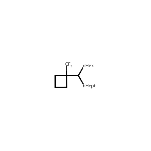 CCCCCCCC(CCCCCC)C1(C(F)(F)F)CCC1